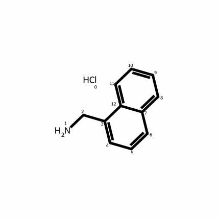 Cl.NCc1cccc2ccccc12